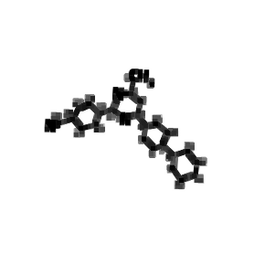 Cc1cc(-c2ccc(-c3ccccc3)cc2)nc(-c2ccc(C#N)cc2)n1